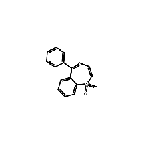 O=S1(=O)C=CN=C(c2ccccc2)c2ccccc21